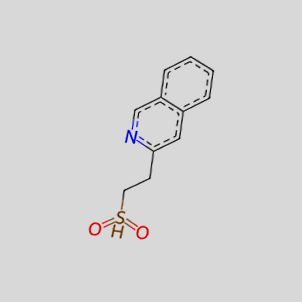 O=[SH](=O)CCc1cc2ccccc2cn1